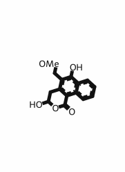 COCc1c2c(c3ccccc3c1O)C(=O)OC(O)C2